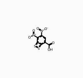 O=C(O)c1cc([N+](=O)[O-])c([N+](=O)[O-])c2ssc12